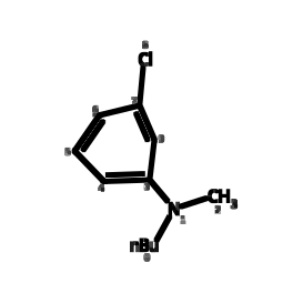 CCCCN(C)c1cc[c]c(Cl)c1